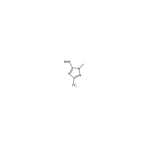 CNc1nc(C(F)(F)F)nn1C